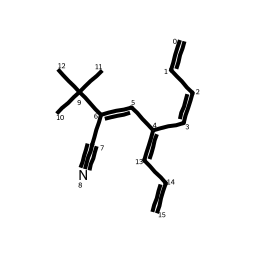 C=C\C=C/C(/C=C(\C#N)C(C)(C)C)=C\C=C